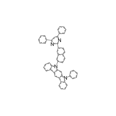 c1ccc(-c2cc(-c3ccccc3)nc(-c3ccc4ccc(-n5c6ccccc6c6cc7c8ccccc8n(-c8ccccc8)c7cc65)cc4c3)n2)cc1